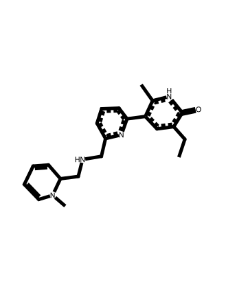 CCc1cc(-c2cccc(CNCC3C=CC=CN3C)n2)c(C)[nH]c1=O